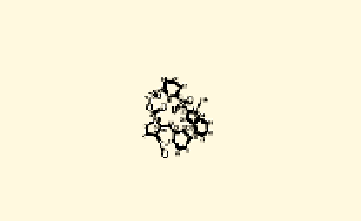 CC(C)(C)OC(=O)N1CCC(=C=O)[C@@H]1Cc1ccccc1.O=S(=O)(c1ccccc1)c1cc2ccccc2n1I